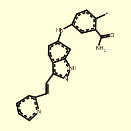 NC(=O)c1cc(Nc2ccc3c(/C=C/c4ccccn4)n[nH]c3c2)ccc1F